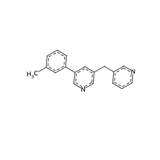 Cc1cccc(-c2cncc(Cc3cccnc3)c2)c1